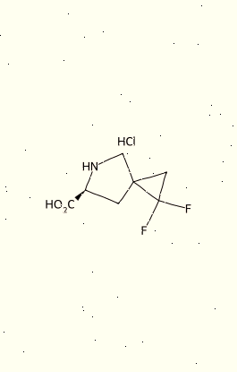 Cl.O=C(O)[C@@H]1CC2(CN1)CC2(F)F